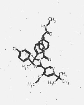 CCNC(=O)CC1CCN(C(=O)N2C(c3cnc(C(C)(C)C)cc3OCC)=N[C@@](C)(c3ccc(Cl)cc3)[C@@]2(C)c2ccc(Cl)cc2)CC1